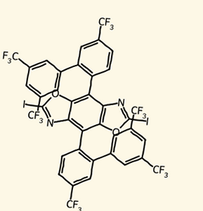 FC(F)(F)c1cc(-c2cc(C(F)(F)F)ccc2-c2c3nc(I)oc3c(-c3ccc(C(F)(F)F)cc3-c3cc(C(F)(F)F)cc(C(F)(F)F)c3)c3nc(I)oc23)cc(C(F)(F)F)c1